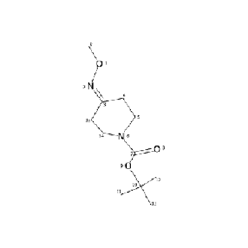 CON=C1CCN(C(=O)OC(C)(C)C)CC1